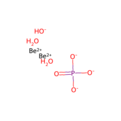 O.O.O=P([O-])([O-])[O-].[Be+2].[Be+2].[OH-]